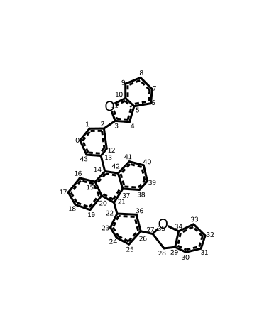 c1cc(-c2cc3ccccc3o2)cc(-c2c3ccccc3c(-c3cccc(C4Cc5ccccc5O4)c3)c3ccccc23)c1